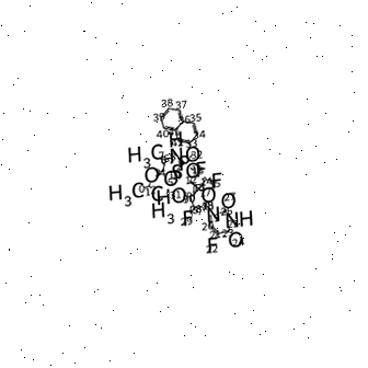 CC(C)OC(=O)[C@H](C)NP(=S)(OC[C@@]1(C(F)F)O[C@@H](n2cc(F)c(=O)[nH]c2=O)[C@@H](F)[C@@H]1O)Oc1ccc2ccccc2c1